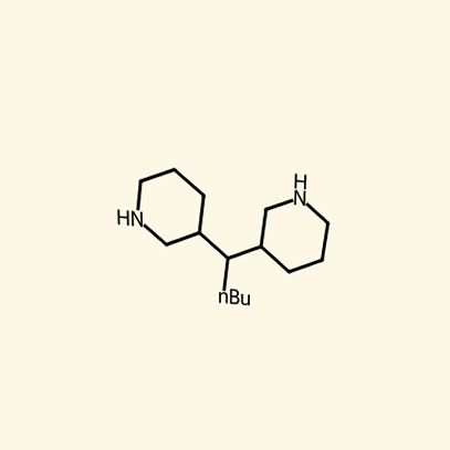 CCCCC(C1CCCNC1)C1CCCNC1